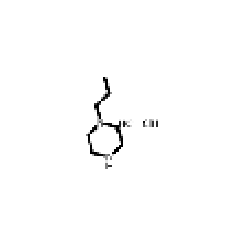 CCCN1CCNCC1.Cl.Cl